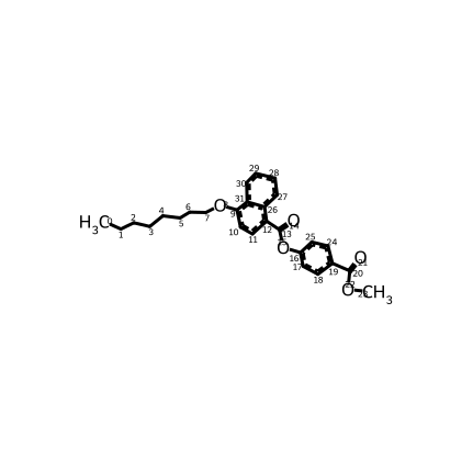 CCCCCCCCOc1ccc(C(=O)Oc2ccc(C(=O)OC)cc2)c2ccccc12